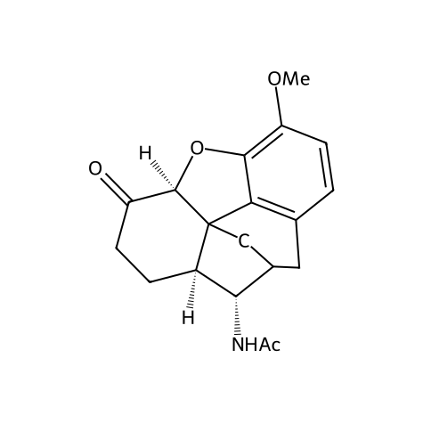 COc1ccc2c3c1O[C@@H]1C(=O)CC[C@@H]4[C@@H](NC(C)=O)C(C2)CC314